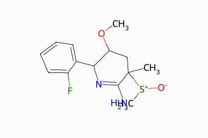 COC1CC(C)([S+](C)[O-])C(N)=NC1c1ccccc1F